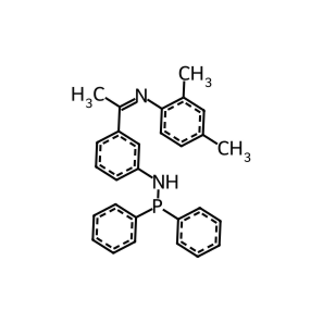 CC(=Nc1ccc(C)cc1C)c1cccc(NP(c2ccccc2)c2ccccc2)c1